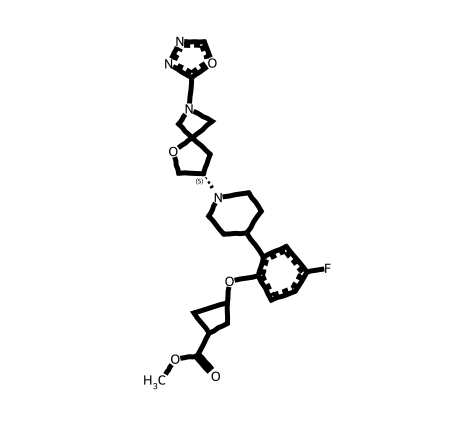 COC(=O)C1CC(Oc2ccc(F)cc2C2CCN([C@@H]3COC4(C3)CN(c3nnco3)C4)CC2)C1